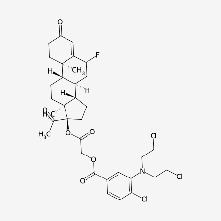 CC(=O)[C@@]1(OC(=O)COC(=O)c2ccc(Cl)c(N(CCCl)CCCl)c2)CC[C@H]2[C@@H]3CC(F)C4=CC(=O)CC[C@]4(C)[C@H]3CC[C@@]21C